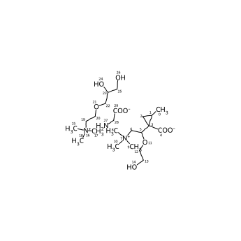 CC1CC1(C(=O)[O-])C(C[N+](C)(C)C)OCCO.C[N+](C)(C)CCOCC(O)CO.NCC(=O)[O-]